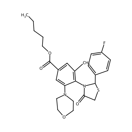 CCCCCOC(=O)c1cc(C)c(N2C(=O)CSC2c2ccc(F)cc2)c(N2CCOCC2)c1